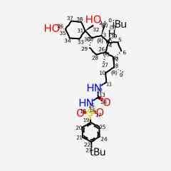 CC[C@H](C)[C@@H](O)[C@H]1[C@@H]2CC[C@H]([C@H](C)CCNC(=O)NS(=O)(=O)c3ccc(C(C)(C)C)cc3)[C@@]2(C)CC[C@@H]1[C@]1(C)CC[C@H](O)CC1